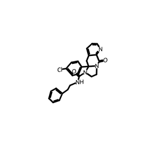 O=C(NCCc1ccccc1)N1CCN2C(=O)c3ncccc3CC12c1ccc(Cl)cc1